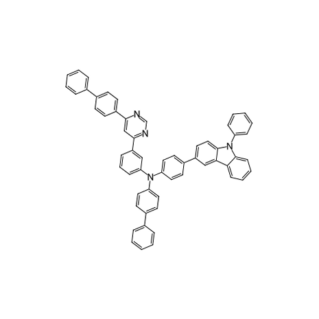 c1ccc(-c2ccc(-c3cc(-c4cccc(N(c5ccc(-c6ccccc6)cc5)c5ccc(-c6ccc7c(c6)c6ccccc6n7-c6ccccc6)cc5)c4)ncn3)cc2)cc1